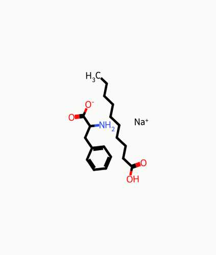 CCCCCCCCCC(=O)O.NC(Cc1ccccc1)C(=O)[O-].[Na+]